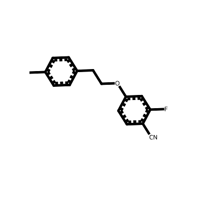 Cc1ccc(CCOc2ccc(C#N)c(F)c2)cc1